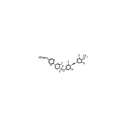 CCCCCc1cnc(-c2ccc(C(F)(F)Oc3cc(F)c(C#Cc4cc(F)c(OC(F)(F)F)c(F)c4)c(F)c3)c(F)c2)nc1